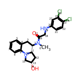 CN(CCc1ccccc1N1CC[C@H](O)C1)C(=O)CNc1ccc(Cl)c(Cl)c1